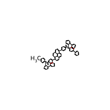 Cc1ccc(N(c2ccc(-c3ccc4ccc5c(-c6ccc(N(c7ccc(-c8ccccc8)cc7)c7ccccc7-c7ccccc7)cc6)ccc6ccc3c4c65)cc2)c2ccccc2-c2ccccc2)cc1